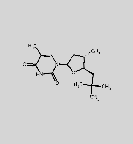 Cc1cn([C@H]2C[C@H](C)[C@@H](CC(C)(C)C)O2)c(=O)[nH]c1=O